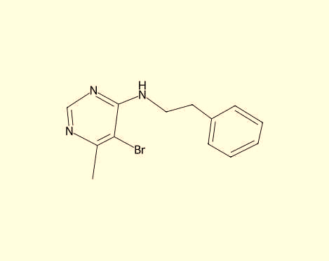 Cc1ncnc(NCCc2ccccc2)c1Br